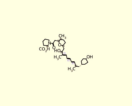 C\C(=C/C=C/C=C/[C@@H](C)C[C@H]1CC[C@H](O)CC1)[C@@H](O)C[C@@H]1CC[C@@H](C)[C@H](CC(=O)N2CCCC[C@H]2C(=O)O)O1